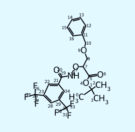 CC(C)(C)OC(=O)C(COCc1ccccc1)ONC(=O)c1cc(C(F)(F)F)cc(C(F)(F)F)c1